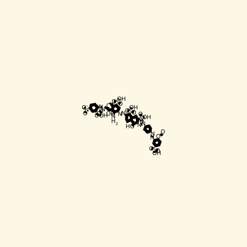 Nc1c(N=Nc2ccc3c(O)c(N=Nc4ccc(N=Nc5cc(S(=O)(=O)O)ccc5OC=O)cc4)c(S(=O)(=O)O)cc3c2S(=O)(=O)O)cc(S(=O)(=O)O)c2ccc(N=Nc3ccc([N+](=O)[O-])cc3S(=O)(=O)O)c(O)c12